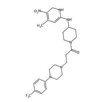 CC1=C([N+](=O)[O-])CNC(NC2CCN(C(=O)CCN3CCN(c4ccc(C(F)(F)F)cc4)CC3)CC2)=C1